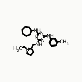 CCN1CCCC1CNc1nc(Nc2cccc(C)c2)nc(NC2CCCCCC2)n1